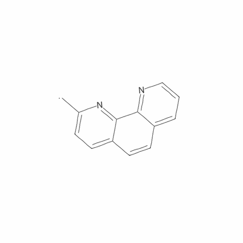 [CH2]c1ccc2ccc3cccnc3c2n1